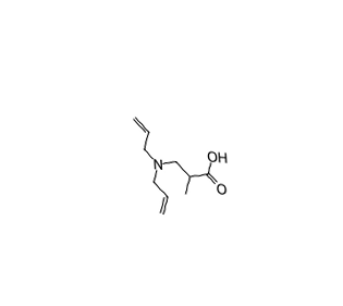 C=CCN(CC=C)CC(C)C(=O)O